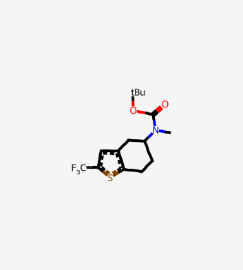 CN(C(=O)OC(C)(C)C)C1CCc2sc(C(F)(F)F)cc2C1